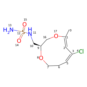 C/C1=C\C(Cl)=C/CCO[C@@H](CNS(N)(=O)=O)CO1